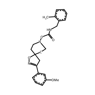 COc1cccc(C2=NOC3(CCN(OC(=O)NCc4ccccc4C)CC3)C2)c1